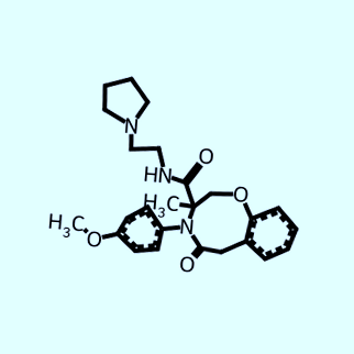 COc1ccc(N2C(=O)Cc3ccccc3OCC2(C)C(=O)NCCN2CCCC2)cc1